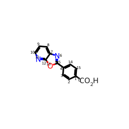 O=C(O)c1ccc(-c2nc3cccnc3o2)cc1